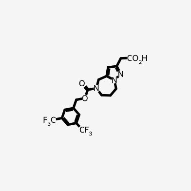 O=C(O)Cc1cc2n(n1)CCCN(C(=O)OCc1cc(C(F)(F)F)cc(C(F)(F)F)c1)C2